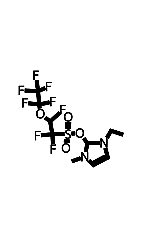 CCN1C=CN(C)C1OS(=O)(=O)C(F)(F)C(F)OC(F)(F)C(F)(F)F